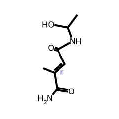 C/C(=C\C(=O)NC(C)O)C(N)=O